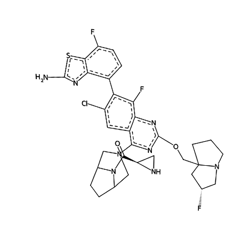 Nc1nc2c(-c3c(Cl)cc4c(N5CC6CCC(C5)N6C(=O)[C@H]5CN5)nc(OCC56CCCN5C[C@H](F)C6)nc4c3F)ccc(F)c2s1